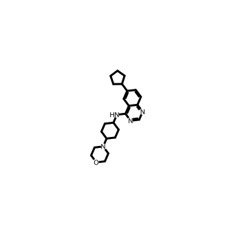 c1nc(NC2CCC(N3CCOCC3)CC2)c2cc(C3CCCC3)ccc2n1